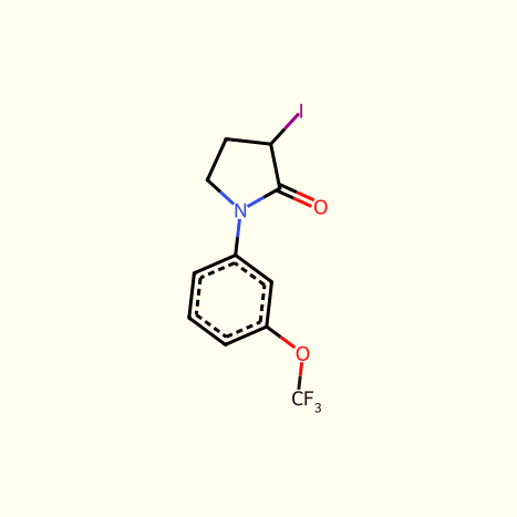 O=C1C(I)CCN1c1cccc(OC(F)(F)F)c1